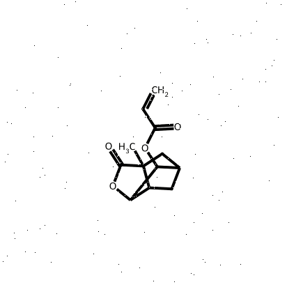 C=CC(=O)OC1C2CC3C1OC(=O)C3(C)C2